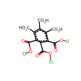 O=C(O)c1c(C(=O)O)c(C(=O)OCl)c(C(=O)OCl)c(C(=O)OCl)c1C(=O)O